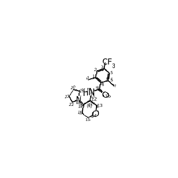 Cc1cc(C(F)(F)F)cc(C)c1C(=O)N[C@H]1COCC[C@H]1N1CCCC1